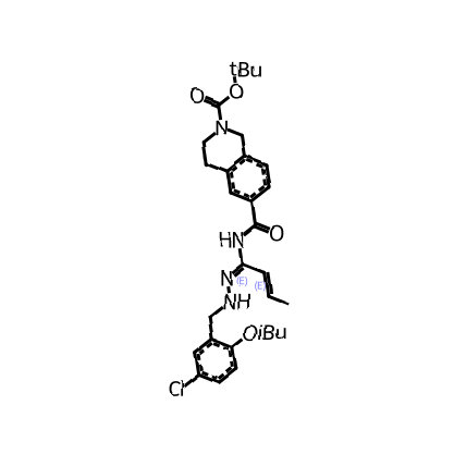 C/C=C/C(=N\NCc1cc(Cl)ccc1OCC(C)C)NC(=O)c1ccc2c(c1)CCN(C(=O)OC(C)(C)C)C2